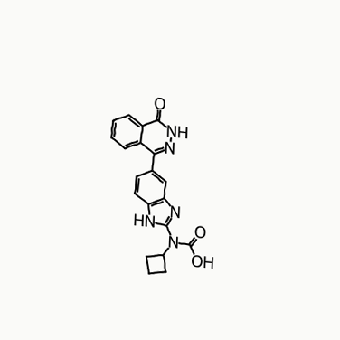 O=C(O)N(c1nc2cc(-c3n[nH]c(=O)c4ccccc34)ccc2[nH]1)C1CCC1